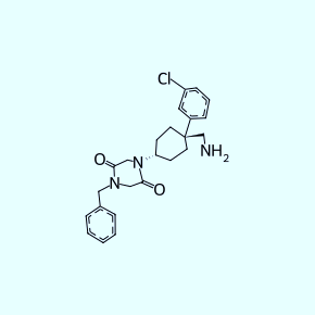 NC[C@]1(c2cccc(Cl)c2)CC[C@@H](N2CC(=O)N(Cc3ccccc3)CC2=O)CC1